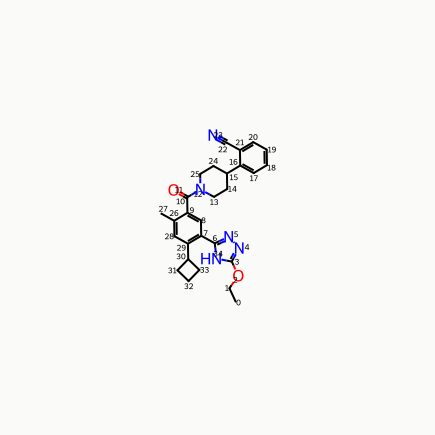 CCOc1nnc(-c2cc(C(=O)N3CCC(c4ccccc4C#N)CC3)c(C)cc2C2CCC2)[nH]1